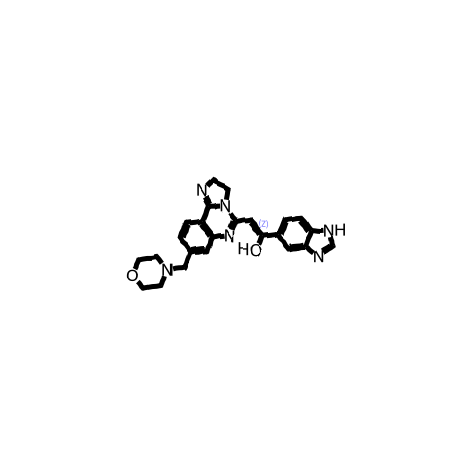 O/C(=C\C1=Nc2cc(CN3CCOCC3)ccc2C2=NCCN12)c1ccc2[nH]cnc2c1